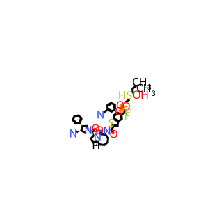 CC(C)CC(O)=[SH]CCOP(=O)(Oc1cccc(C#N)c1)C(F)(F)c1ccc2sc(C(=O)N[C@H]3CCCC[C@H]4CC[C@@H](C(=O)N5C[C@@H](C#N)[C@H](c6ccccc6)C5)N4C3=O)cc2c1